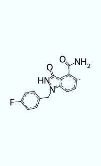 NC(=O)c1[c]ccc2c1c(=O)[nH]n2Cc1ccc(F)cc1